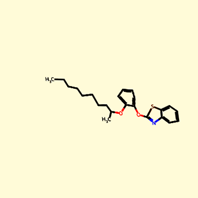 CCCCCCCCC(C)Oc1ccccc1Oc1nc2ccccc2s1